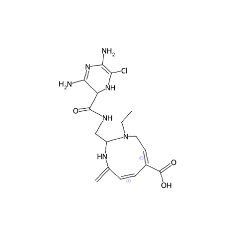 C=C1/C=C\C(C(=O)O)=C/CN(CC)C(CNC(=O)C2NC(Cl)=C(N)N=C2N)N1